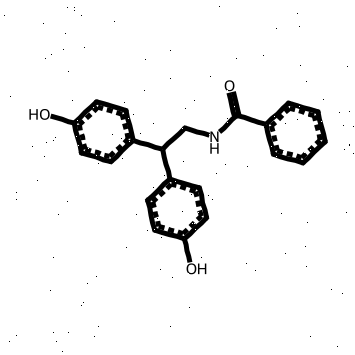 O=C(NCC(c1ccc(O)cc1)c1ccc(O)cc1)c1ccccc1